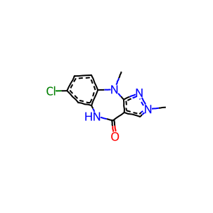 CN1c2ccc(Cl)cc2NC(=O)c2cn(C)nc21